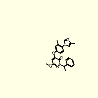 COc1cc(Oc2ccc(-n3cnc(C)c3)c(C)c2)c(=O)n(C(C)c2ccccc2)n1